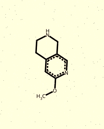 COc1cc2c(cn1)CNCC2